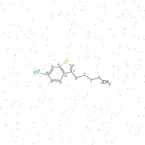 [CH2]CCCCc1csc2cc(Cl)ccc12